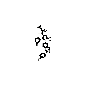 Cc1cccc([C@@H]2[C@@H](NC(=O)C3CC3)[C@H](C)C(=O)N2c2ccc3c(cnn3-c3ccc(F)cc3)c2)c1